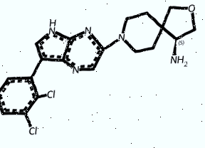 N[C@@H]1COCC12CCN(c1cnc3c(-c4cccc(Cl)c4Cl)c[nH]c3n1)CC2